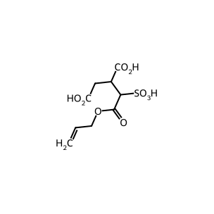 C=CCOC(=O)C(C(CC(=O)O)C(=O)O)S(=O)(=O)O